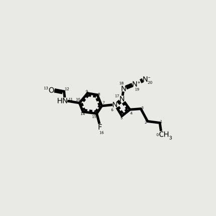 CCCCc1cn(-c2ccc(NC=O)cc2F)n1N=[N+]=[N-]